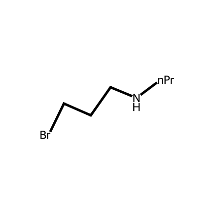 CCCNCCCBr